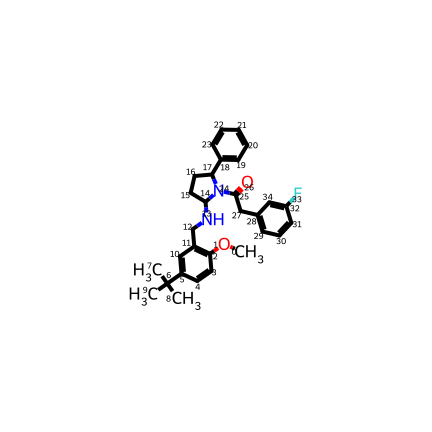 COc1ccc(C(C)(C)C)cc1CNC1CCC(c2ccccc2)N1C(=O)Cc1cccc(F)c1